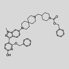 Cn1nc(-c2ccc(O)nc2OCc2ccccc2)c2ccc(N3CCC4(CCN(CC5CCN(C(=O)OCc6ccccc6)CC5)CC4)CC3)cc21